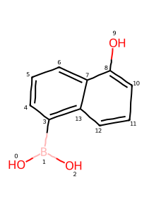 OB(O)c1cccc2c(O)cccc12